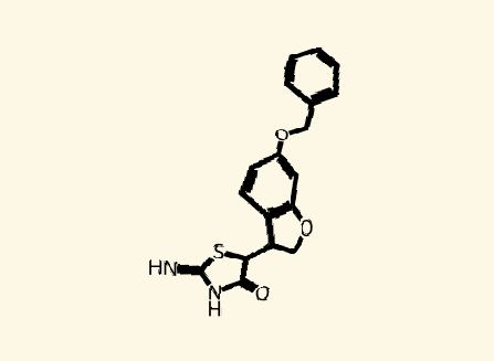 N=C1NC(=O)C(C2COc3cc(OCc4ccccc4)ccc32)S1